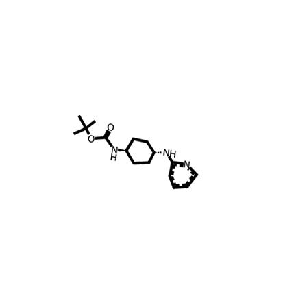 CC(C)(C)OC(=O)N[C@H]1CC[C@H](Nc2ccccn2)CC1